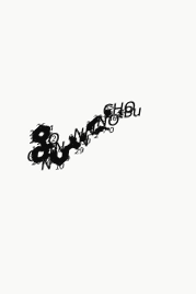 C[C@H]1CN(c2ncc(-c3ccc4nc5n(c4n3)C3(COC5)COc4ccccc43)cn2)CCN1C(C=O)OC(C)(C)C